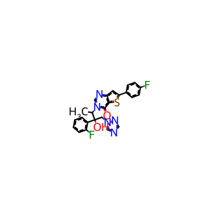 CC(n1cnc2cc(-c3ccc(F)cc3)sc2c1=O)C(O)(Cn1cncn1)c1ccccc1F